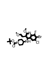 CO/C=C/c1c(OC)nc2c(F)c(Br)c(Cl)cc2c1NC1CCN(C(=O)OC(C)(C)C)CC1